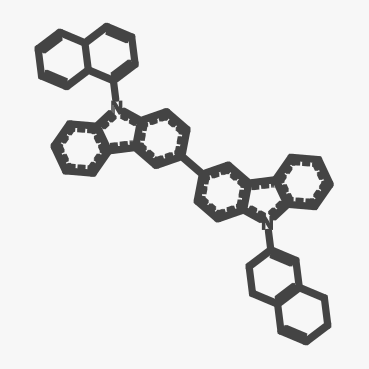 C1=CC2C=CC=C(n3c4ccccc4c4cc(-c5ccc6c(c5)c5ccccc5n6C5=CC6=C(C=CCC6)CC5)ccc43)C2C=C1